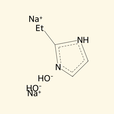 CCc1ncc[nH]1.[Na+].[Na+].[OH-].[OH-]